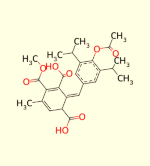 COC(=O)C1=C(C(=O)O)C(=Cc2cc(C(C)C)c(OC(C)=O)c(C(C)C)c2)C(C(=O)O)C=C1C